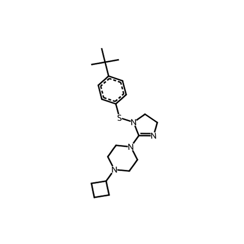 CC(C)(C)c1ccc(SN2CCN=C2N2CCN(C3CCC3)CC2)cc1